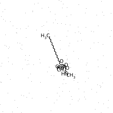 CCCCCCCCCCCCCCCCCC(=O)CC(CC(=O)P(O)C(=O)CCNC)NC(C)=O